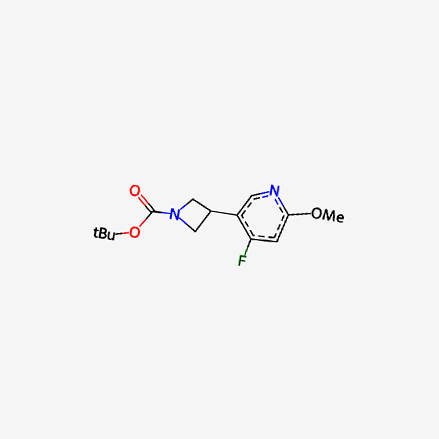 COc1cc(F)c(C2CN(C(=O)OC(C)(C)C)C2)cn1